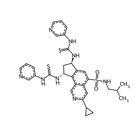 CC(C)CNS(=O)(=O)c1cc2c(c3cnc(C4CC4)cc13)[C@H](NC(=S)Nc1cccnc1)C[C@H]2NC(=S)Nc1cccnc1